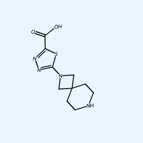 O=C(O)c1nnc(N2CC3(CCNCC3)C2)s1